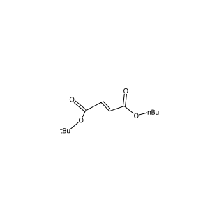 CCCCOC(=O)C=CC(=O)OC(C)(C)C